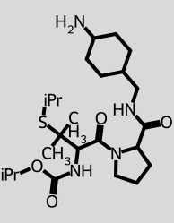 CC(C)OC(=O)NC(C(=O)N1CCCC1C(=O)NCC1CCC(N)CC1)C(C)(C)SC(C)C